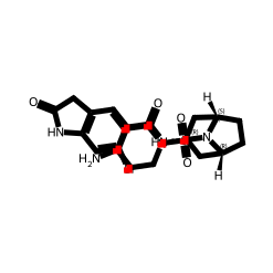 NC1CCN(S(=O)(=O)N2[C@@H]3CC[C@H]2C[C@@H](NC(=O)c2cc4c(cc2Br)NC(=O)C4)C3)CC1